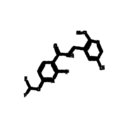 COc1ncc(C#N)cc1CNC(=O)c1ccc(OC(F)F)nc1F